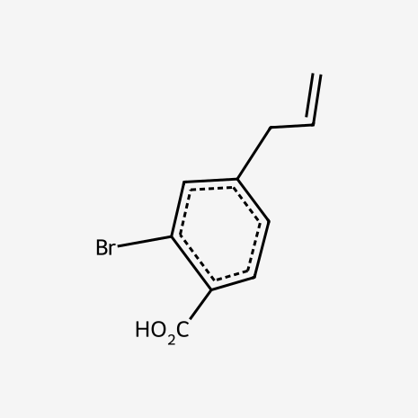 C=CCc1ccc(C(=O)O)c(Br)c1